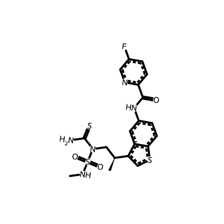 CNS(=O)(=O)N(C[C@H](C)c1csc2ccc(NC(=O)c3ccc(F)cn3)cc12)C(N)=S